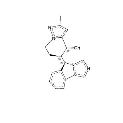 Cc1cc2n(n1)CC[C@H]([C@@H]1c3ccccc3-c3cncn31)[C@H]2O